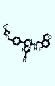 COC1CN(Cc2ccc(-c3cnc(NCc4c(F)ccc5c4CCO5)n4cc(C#N)nc34)cc2)C1